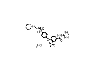 CS(=O)(=O)c1cc(C(=O)NC(=N)N)ccc1Oc1ccc(S(=O)(=O)NCCN2CCCCC2)cc1.Cl.Cl